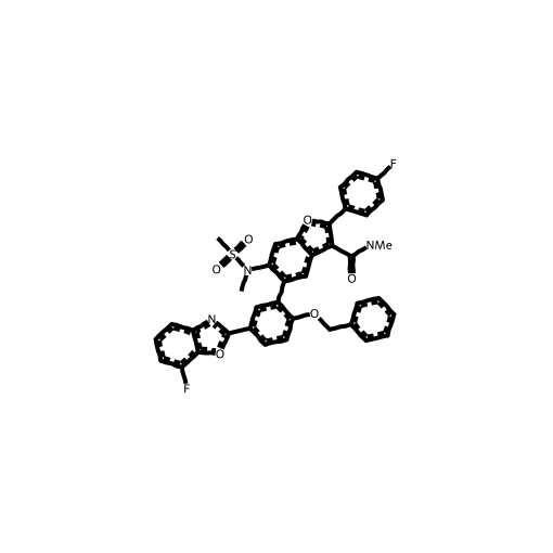 CNC(=O)c1c(-c2ccc(F)cc2)oc2cc(N(C)S(C)(=O)=O)c(-c3cc(-c4nc5cccc(F)c5o4)ccc3OCc3ccccc3)cc12